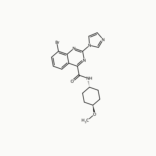 CO[C@H]1CC[C@H](NC(=O)c2nc(-n3ccnc3)nc3c(Br)cccc23)CC1